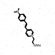 CNCC[n+]1ccc(/C=C/c2ccc(N(C)C)cc2)cc1